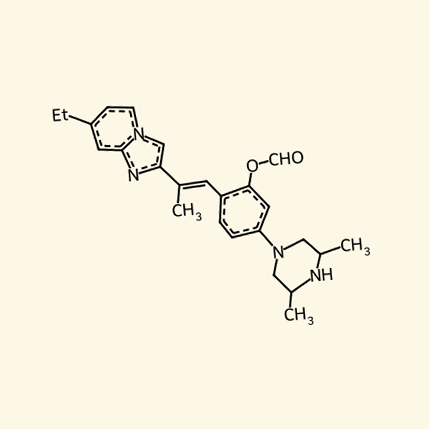 CCc1ccn2cc(/C(C)=C/c3ccc(N4CC(C)NC(C)C4)cc3OC=O)nc2c1